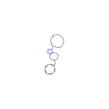 c1ccccc(CC2CCCc3c(nnn3C3CCCCCCCCCCCC3)CC2)cccc1